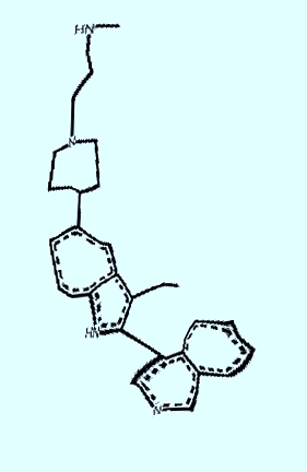 CNCCN1CCC(c2ccc3[nH]c(-c4cncc5ccccc45)c(C)c3c2)CC1